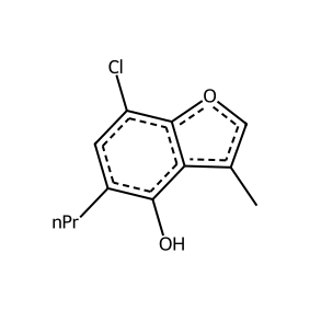 CCCc1cc(Cl)c2occ(C)c2c1O